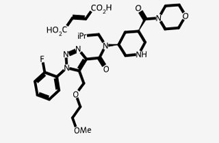 COCCOCc1c(C(=O)N(CC(C)C)[C@@H]2CNC[C@H](C(=O)N3CCOCC3)C2)nnn1-c1ccccc1F.O=C(O)C=CC(=O)O